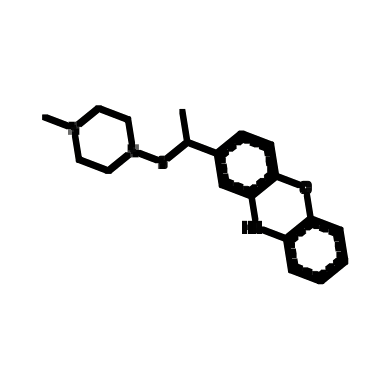 CC(SN1CCN(C)CC1)c1ccc2c(c1)Nc1ccccc1O2